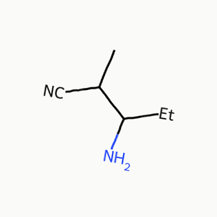 CCC(N)C(C)C#N